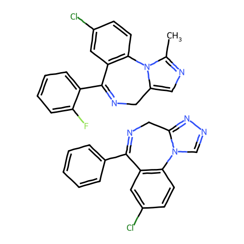 Cc1ncc2n1-c1ccc(Cl)cc1C(c1ccccc1F)=NC2.Clc1ccc2c(c1)C(c1ccccc1)=NCc1nncn1-2